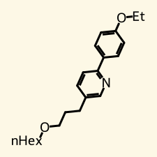 CCCCCCOCCCc1ccc(-c2ccc(OCC)cc2)nc1